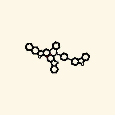 c1ccc(N(c2ccc(-c3ccc4oc5ccccc5c4c3)cc2)c2cccc3c2sc2ccccc23)c(-c2ccc3oc4cc5ccccc5cc4c3c2)c1